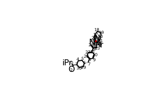 CC(C)C(=O)[C@H]1CC[C@H](Cc2ccc(-c3cnc(N4C5CCC4CN(C(C)C)C5)nc3)cc2)CC1